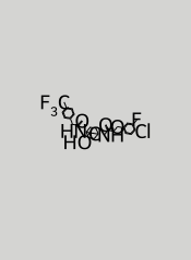 O=C(COc1ccc(Cl)c(F)c1)NC12CCC(NC(=O)Cc3ccc(C(F)(F)F)cc3)(CC1)C(O)C2